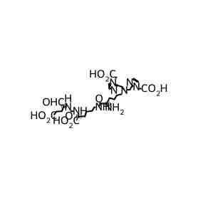 N[C@@H](CCCCN(Cc1nccn1CC(=O)O)Cc1nccn1CC(=O)O)C(=O)NCCCC[C@H](NC(=O)N[C@H](C=O)CCC(=O)O)C(=O)O